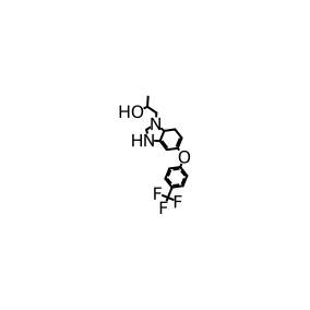 CC(O)CN1CNC2=CC(Oc3ccc(C(F)(F)F)cc3)=CCC21